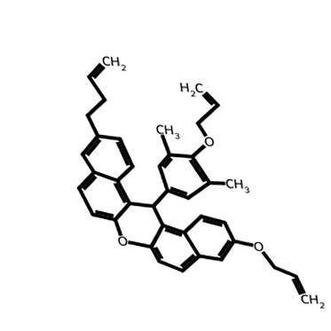 C=CCCc1ccc2c3c(ccc2c1)Oc1ccc2cc(OCC=C)ccc2c1C3c1cc(C)c(OCC=C)c(C)c1